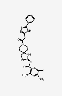 Nc1nc(N)c(C(=O)/N=C2\NCC3(CCN(C(=O)Cc4nnc(-c5ccccc5)[nH]4)CC3)N2)nc1I